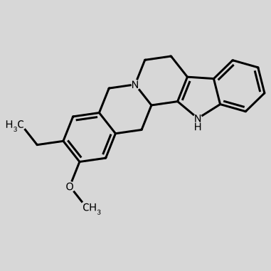 CCc1cc2c(cc1OC)CC1c3[nH]c4ccccc4c3CCN1C2